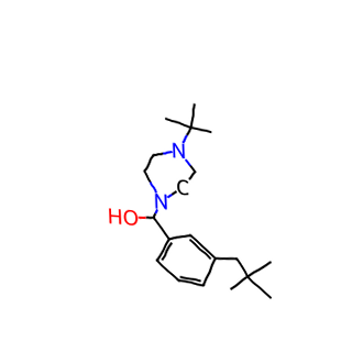 CC(C)(C)Cc1cccc(C(O)N2CCN(C(C)(C)C)CC2)c1